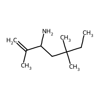 C=C(C)C(N)CC(C)(C)CC